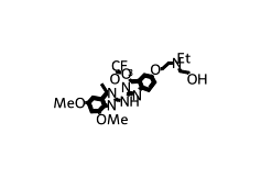 CCN(CCO)CCOc1ccc2nc(Nc3nc(C)c4cc(OC)cc(OC)c4n3)nc(OC(=O)C(F)(F)F)c2c1